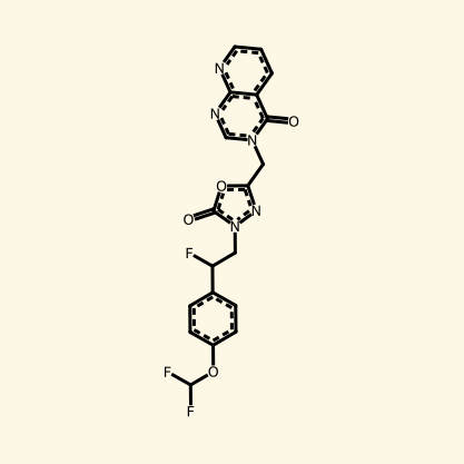 O=c1c2cccnc2ncn1Cc1nn(CC(F)c2ccc(OC(F)F)cc2)c(=O)o1